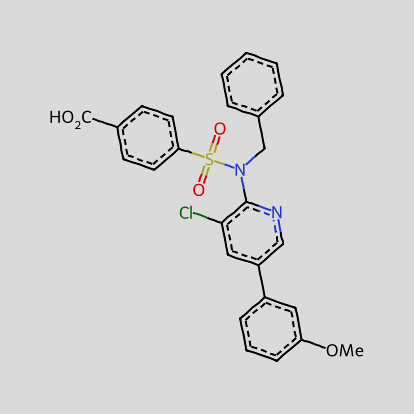 COc1cccc(-c2cnc(N(Cc3ccccc3)S(=O)(=O)c3ccc(C(=O)O)cc3)c(Cl)c2)c1